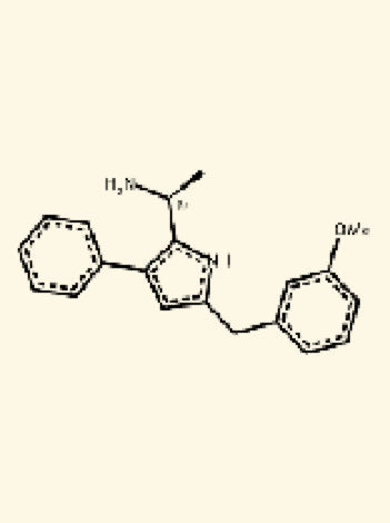 COc1cccc(Cc2cc(-c3ccccc3)c([C@H](C)N)[nH]2)c1